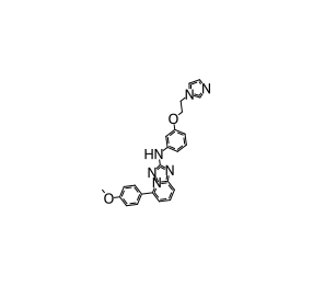 COc1ccc(-c2cccc3nc(Nc4cccc(OCCn5ccnc5)c4)nn23)cc1